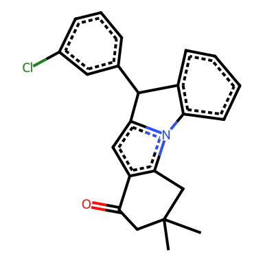 CC1(C)CC(=O)c2cc3n(c2C1)-c1ccccc1C3c1cccc(Cl)c1